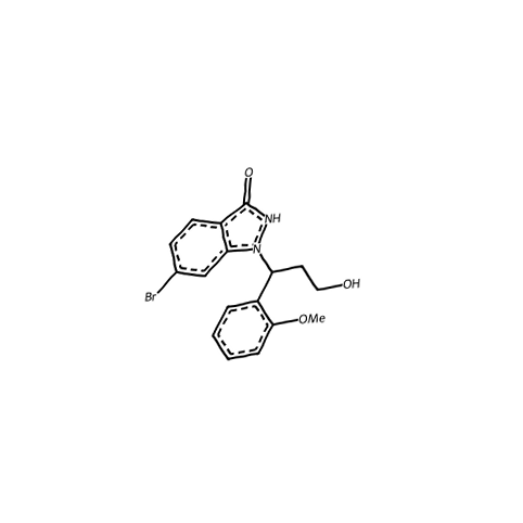 COc1ccccc1C(CCO)n1[nH]c(=O)c2ccc(Br)cc21